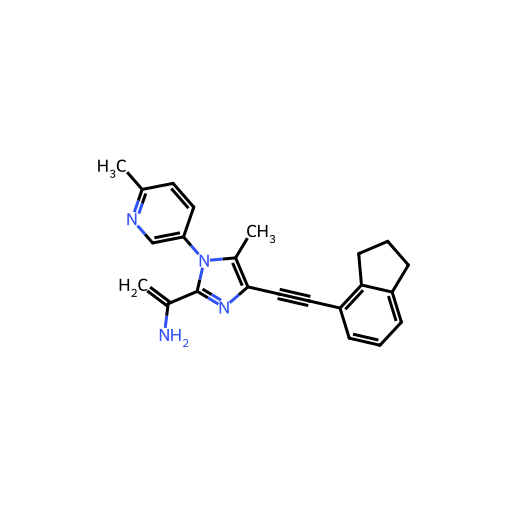 C=C(N)c1nc(C#Cc2cccc3c2CCC3)c(C)n1-c1ccc(C)nc1